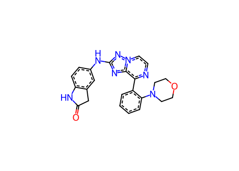 O=C1Cc2cc(Nc3nc4c(-c5ccccc5N5CCOCC5)nccn4n3)ccc2N1